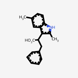 Cc1ccc2[nH]c(C)c(C(Cc3ccccc3)C(=O)O)c2c1